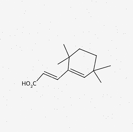 CC1(C)C=C(C=CC(=O)O)C(C)(C)CC1